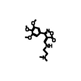 COc1cc(C2=NOC(=O)C2=CNCCN(C)C)cc(OC)c1OC